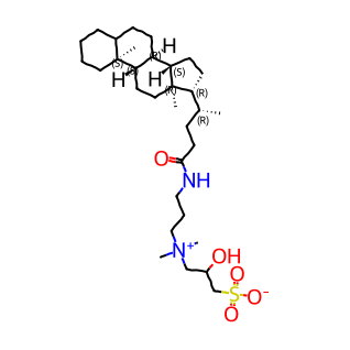 C[C@H](CCC(=O)NCCC[N+](C)(C)CC(O)CS(=O)(=O)[O-])[C@H]1CC[C@H]2[C@@H]3CCC4CCCC[C@]4(C)[C@H]3CC[C@]12C